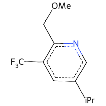 COCc1ncc(C(C)C)cc1C(F)(F)F